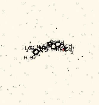 COC[C@]12CC[C@@](C)(O)C[C@@H]1CC[C@H]1[C@@H]3CC[C@H](C(=O)Cn4nc5cc(OC)cc(OC)c5n4)[C@@]3(C)CC[C@@H]12